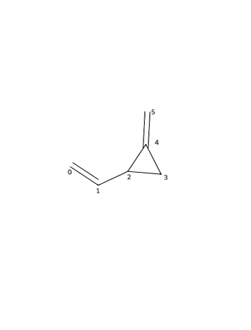 C=CC1CC1=C